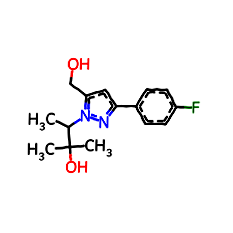 CC(n1nc(-c2ccc(F)cc2)cc1CO)C(C)(C)O